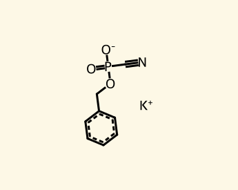 N#CP(=O)([O-])OCc1ccccc1.[K+]